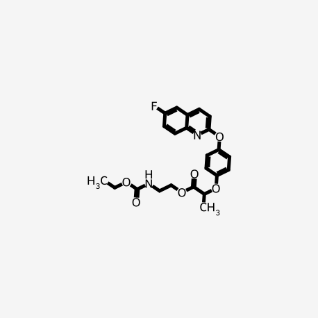 CCOC(=O)NCCOC(=O)C(C)Oc1ccc(Oc2ccc3cc(F)ccc3n2)cc1